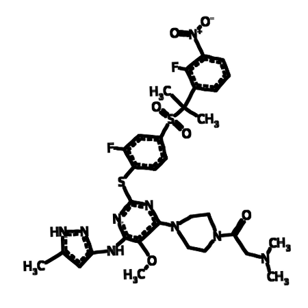 COc1c(Nc2cc(C)[nH]n2)nc(Sc2ccc(S(=O)(=O)C(C)(C)c3cccc([N+](=O)[O-])c3F)cc2F)nc1N1CCN(C(=O)CN(C)C)CC1